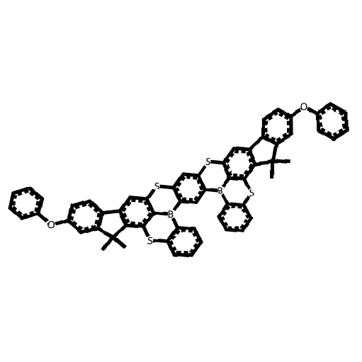 CC1(C)c2cc(Oc3ccccc3)ccc2-c2cc3c4c(c21)Sc1ccccc1B4c1cc2c(cc1S3)Sc1cc3c(c4c1B2c1ccccc1S4)C(C)(C)c1cc(Oc2ccccc2)ccc1-3